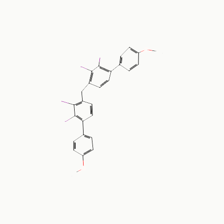 FC(F)(F)Oc1ccc(-c2ccc(Cc3ccc(-c4ccc(OC(F)(F)F)cc4)c(I)c3I)c(I)c2I)cc1